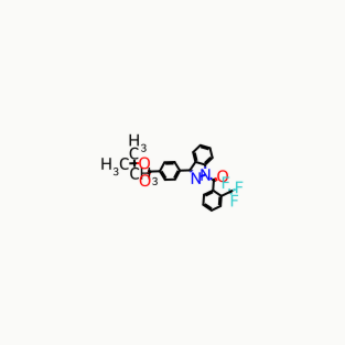 CC(C)(C)OC(=O)c1ccc(-c2nn(C(=O)c3ccccc3C(F)(F)F)c3ccccc23)cc1